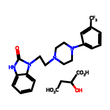 O=C(O)CC(O)C(=O)O.O=c1[nH]c2ccccc2n1CCN1CCN(c2cccc(C(F)(F)F)c2)CC1